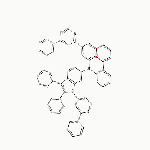 c1ccc(-c2ccnc(-c3cccc(N(c4ccc5c(-c6ccccc6)c(-c6ccccc6)n(-c6cc(-c7ccccc7)ccn6)c5c4)c4ccccc4-c4ccccc4)c3)c2)cc1